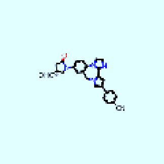 N#Cc1ccc(-c2cc3n(c2)Cc2cc(N4C[C@@H](C=O)CC4=O)ccc2-n2ccnc2-3)cc1